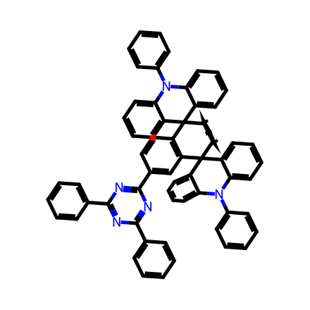 c1ccc(-c2nc(-c3ccccc3)nc(-c3ccc4c(c3)C3(c5ccccc5N(c5ccccc5)c5ccccc53)c3ccccc3C43c4ccccc4N(c4ccccc4)c4ccccc43)n2)cc1